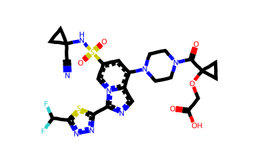 N#CC1(NS(=O)(=O)c2cc(N3CCN(C(=O)C4(OCC(=O)O)CC4)CC3)c3cnc(-c4nnc(C(F)F)s4)n3c2)CC1